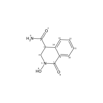 NC(=O)C1CN(O)C(=O)c2ccccc21